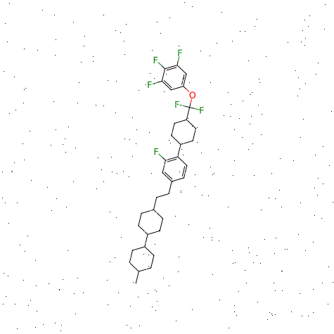 CC1CCC(C2CCC(CCc3ccc(C4CCC(C(F)(F)Oc5cc(F)c(F)c(F)c5)CC4)c(F)c3)CC2)CC1